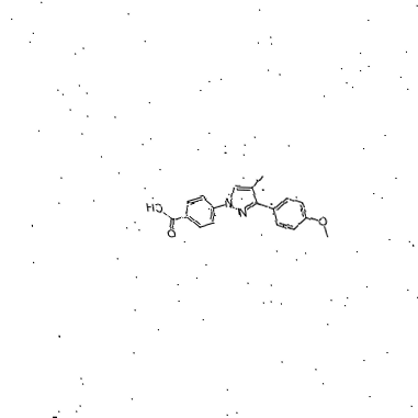 COc1ccc(-c2nn(-c3ccc(C(=O)O)cc3)cc2C)cc1